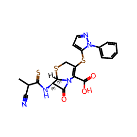 CC(C#N)C(=S)N[C@@H]1C(=O)N2C(C(=O)O)=C(Sc3ccnn3-c3ccccc3)CS[C@@H]12